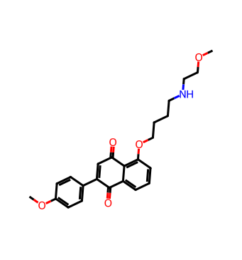 COCCNCCCCOc1cccc2c1C(=O)C=C(c1ccc(OC)cc1)C2=O